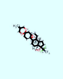 C=C1COC2(CC[C@]34O[C@]3(CC[C@@H]3C4=CC[C@@]4(C)[C@H]3CC[C@@]4(O)C(F)(F)C(F)(F)F)C2)OC1